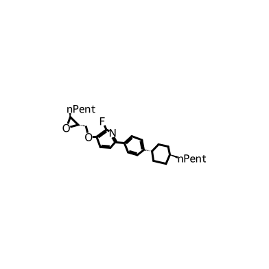 CCCCC[C@@H]1O[C@H]1COc1ccc(-c2ccc([C@H]3CC[C@H](CCCCC)CC3)cc2)nc1F